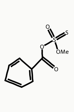 COS(=O)(=S)OC(=O)c1ccccc1